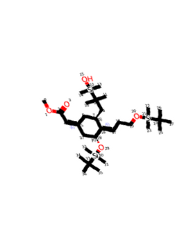 COC(=O)/C=C1\C[C@@H](CC(C)(C)[Si](C)(C)O)/C(=C\CCO[Si](C)(C)C(C)(C)C)[C@H](O[Si](C)(C)C(C)(C)C)C1